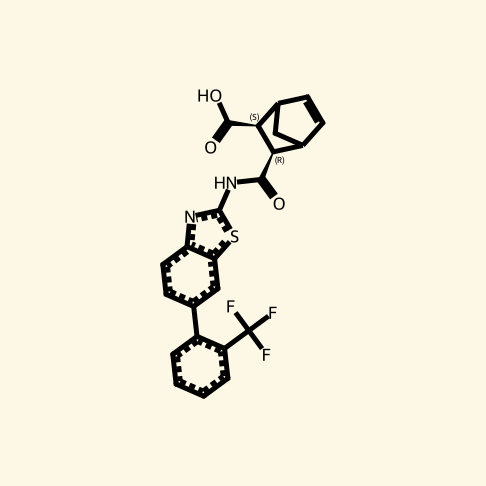 O=C(Nc1nc2ccc(-c3ccccc3C(F)(F)F)cc2s1)[C@@H]1C2C=CC(C2)[C@@H]1C(=O)O